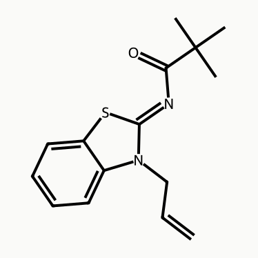 C=CCn1/c(=N/C(=O)C(C)(C)C)sc2ccccc21